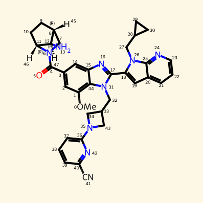 COc1cc(C(=O)N2C[C@H]3CC[C@@H]2[C@@H]3N)cc2nc(-c3cc4cccnc4n3CC3CC3)n(CC3CN(c4cccc(C#N)n4)C3)c12